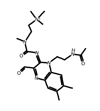 CC(=O)NCCn1/c(=N/C(=O)N(C)CC[N+](C)(C)C)c(C=O)nc2cc(C)c(C)cc21